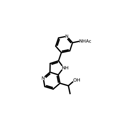 CC(=O)Nc1cc(-c2cc3nccc(C(C)O)c3[nH]2)ccn1